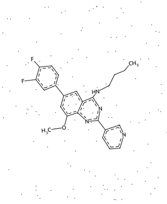 CCCCNc1nc(-c2cccnc2)nc2c(OC)cc(-c3ccc(F)c(F)c3)cc12